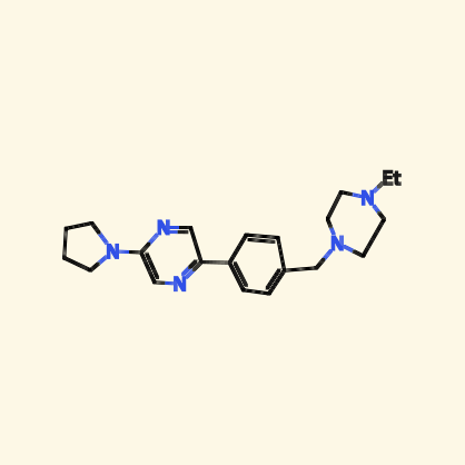 CCN1CCN(Cc2ccc(-c3cnc(N4CCCC4)cn3)cc2)CC1